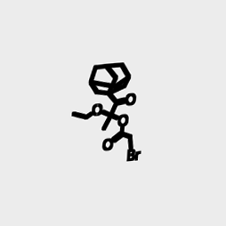 CCOC(C)(OC(=O)CBr)C(=O)C12CC3CC(CC(C3)C1)C2